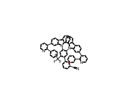 N#Cc1cccc(-c2cc(-n3c4ccccc4c4ccc(-c5cccnc5-c5ccccc5)cc43)c(-n3c4ccccc4c4ccc(-c5cccnc5-c5ccccc5)cc43)cc2C(F)(F)F)c1